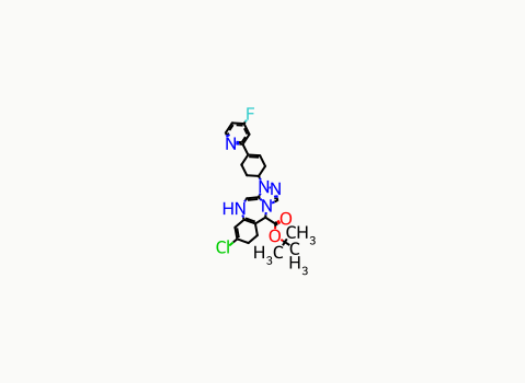 CC(C)(C)OC(=O)C1C2=C(C=C(Cl)CC2)NC=C2N1C=NN2C1CC=C(c2cc(F)ccn2)CC1